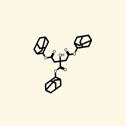 O=C(CC(O)(CC(=O)OC1C2CC3CC(C2)CC1C3)C(=O)OC1C2CC3CC(C2)CC1C3)OC1C2CC3CC(C2)CC1C3